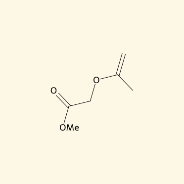 C=C(C)OCC(=O)OC